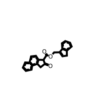 O=C1Cc2c(ccc3ccccc23)C1C(=O)OCC1=CCc2ccccc21